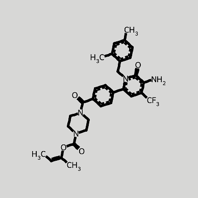 C/C=C(/C)OC(=O)N1CCN(C(=O)c2ccc(-c3cc(C(F)(F)F)c(N)c(=O)n3Cc3ccc(C)cc3C)cc2)CC1